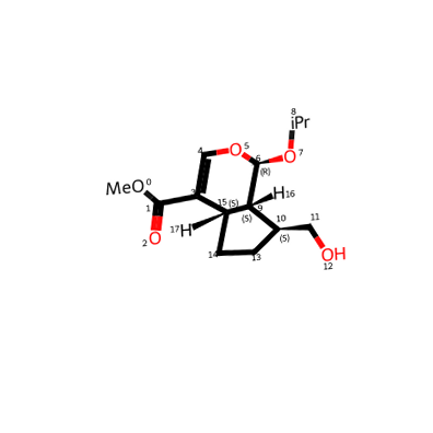 COC(=O)C1=CO[C@@H](OC(C)C)[C@@H]2[C@@H](CO)CC[C@H]12